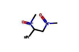 CCCC(C[N+](C)=O)[N+](C)=O